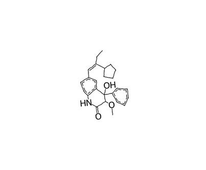 CCC(=Cc1ccc2c(c1)C(O)(c1ccccc1)C(OC)C(=O)N2)C1CCCC1